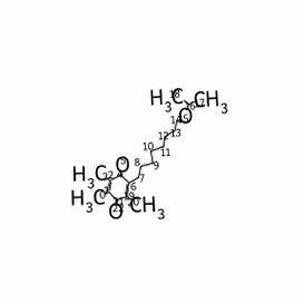 CC1=C(C)C(=O)C(CCCCCCCCOC(C)C)=C(C)C1=O